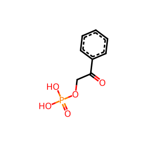 O=C(COP(=O)(O)O)c1ccccc1